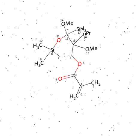 C=C(C)C(=O)OC1C[Si](C)(C)OC([SiH3])(OC)C1(CCC)OC